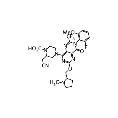 COc1cccc(F)c1-n1c(C(F)(F)F)nc2c(N3CCN(C(=O)O)C(CC#N)C3)nc(OCC3CCCN3C)nc2c1=O